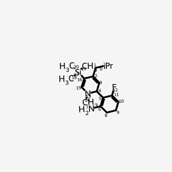 CC(C)CC1=CC(C2=C(N)CCC=C2F)N(C)C=C1[Si](C)(C)C